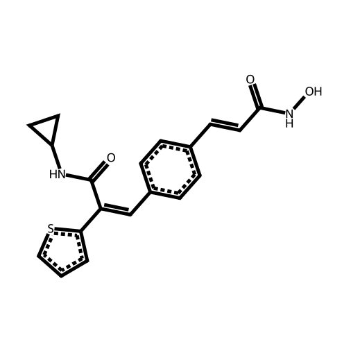 O=C(/C=C/c1ccc(/C=C(\C(=O)NC2CC2)c2cccs2)cc1)NO